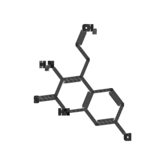 C=CCc1c(N)c(=S)[nH]c2cc(Cl)ccc12